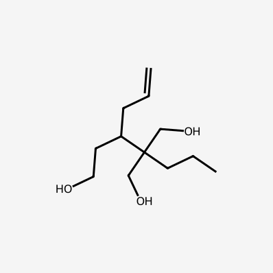 C=CCC(CCO)C(CO)(CO)CCC